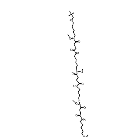 CON(CCCCCNC(=O)CCC(=O)N(CCCCCNC(=O)CCC(=O)N(CCCCCNC(=O)CCC(=O)N(CCCCCNCC(C)(C)C)OC)OC)OC)C(C)=O